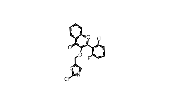 O=c1c(OCc2cnc(Cl)s2)c(-c2c(F)cccc2Cl)oc2ccccc12